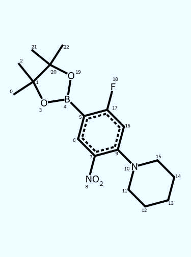 CC1(C)OB(c2cc([N+](=O)[O-])c(N3CCCCC3)cc2F)OC1(C)C